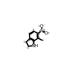 Cc1c([N+](=O)[O-])ccc2c1NCC2